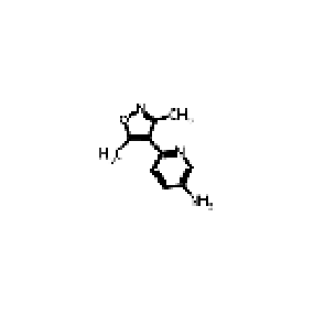 Cc1noc(C)c1-c1ccc(N)cn1